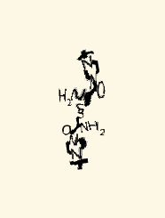 CC(C)(C)N1CCN(C(=O)C(N)CSSCC(N)C(=O)N2CCN(C(C)(C)C)CC2)CC1